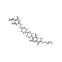 C=CCC/C(F)=C(\F)c1cc(F)c(C2CCC(C3CCC(CCc4cc(F)c(OCC)c(F)c4)CC3)CC2)c(F)c1